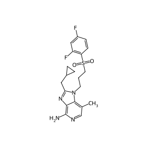 Cc1cnc(N)c2nc(CC3CC3)n(CCCS(=O)(=O)c3ccc(F)cc3F)c12